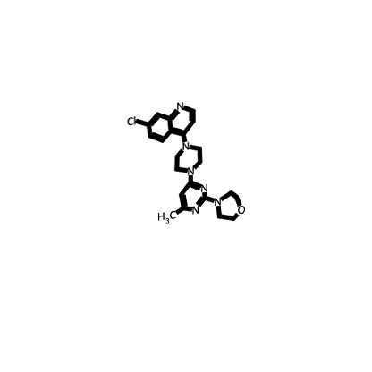 Cc1cc(N2CCN(c3ccnc4cc(Cl)ccc34)CC2)nc(N2CCOCC2)n1